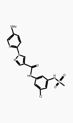 CSc1ccc(-n2cc(C(=O)Nc3cc(Cl)cc(NS(C)(=O)=O)c3)cn2)nc1